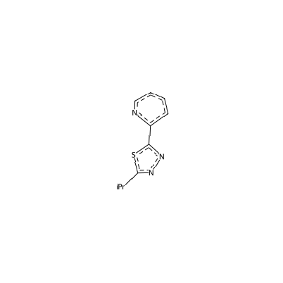 CC(C)c1nnc(-c2ccccn2)s1